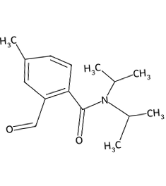 Cc1ccc(C(=O)N(C(C)C)C(C)C)c(C=O)c1